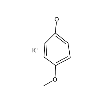 COc1ccc([O-])cc1.[K+]